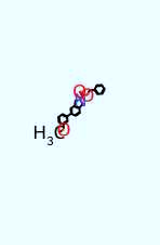 COc1cccc(-c2ccc3c(c2)CN(C(=O)OCc2ccccc2)C3)c1